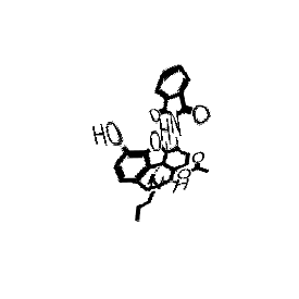 C=CCN1CC[C@]23c4c5ccc(O)c4O[C@H]2[C@H](N2C(=O)c4ccccc4C2=O)CC[C@@]3(OC(C)=O)[C@H]1C5